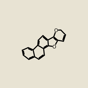 C1=Cc2oc3c(ccc4c5ccccc5ccc43)c2OC1